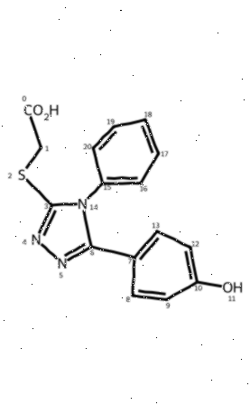 O=C(O)CSc1nnc(-c2ccc(O)cc2)n1-c1ccccc1